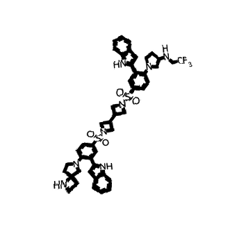 O=S(=O)(c1ccc(N2CCC(NCC(F)(F)F)C2)c(-c2cc3ccccc3[nH]2)c1)N1CC(C2CN(S(=O)(=O)c3ccc(N4CCC5(CCN5)C4)c(-c4cc5ccccc5[nH]4)c3)C2)C1